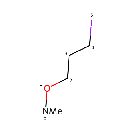 CNOCCCI